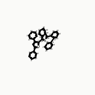 c1ccc(-c2cc(-c3ccccc3)c(-c3sc(-c4ccccc4-c4ccccc4)c4ccccc34)o2)cc1